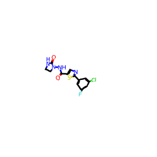 O=C(NN1CCNC1=O)c1cnc(-c2cc(F)cc(Cl)c2)s1